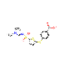 CN(C)C=NS(=O)(=O)c1ccc(Sc2ccc(C(=O)O)cc2)s1